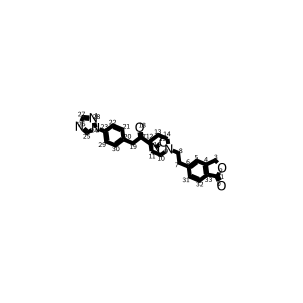 O=C1OCc2cc(CCN3CC4CCC3CN4C(=O)Cc3ccc(-n4cncn4)cc3)ccc21